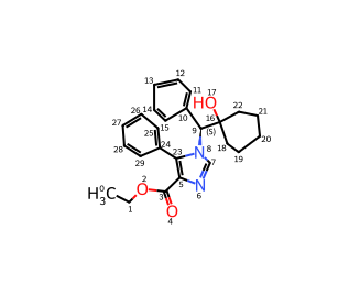 CCOC(=O)c1ncn([C@@H](c2ccccc2)C2(O)CCCCC2)c1-c1ccccc1